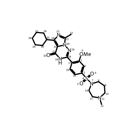 COc1cc(S(=O)(=O)N2CCCN(C)CC2)ccc1-c1nn2c(C)nc(C3CCCCC3)c2c(=O)[nH]1